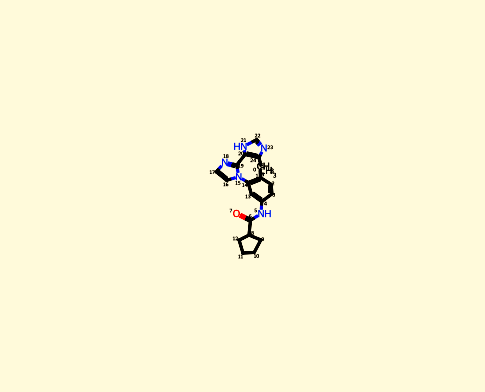 Cc1ccc(NC(=O)C2CCCC2)cc1-n1ccnc1-c1[nH]cnc1C